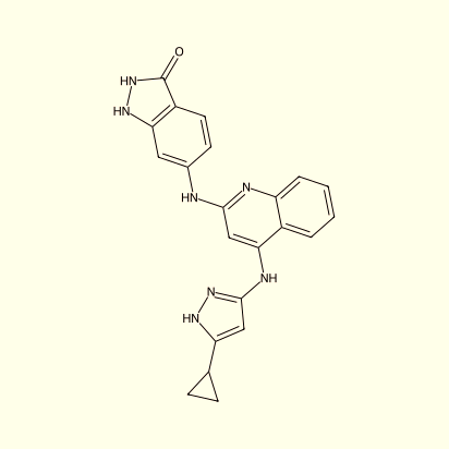 O=c1[nH][nH]c2cc(Nc3cc(Nc4cc(C5CC5)[nH]n4)c4ccccc4n3)ccc12